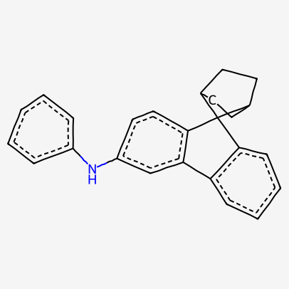 c1ccc(Nc2ccc3c(c2)-c2ccccc2C32C3CCC2CC3)cc1